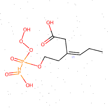 CC/C=C(/CCOP(=O)(OOO)[PH](=O)O)CC(=O)O